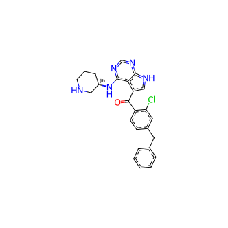 O=C(c1ccc(Cc2ccccc2)cc1Cl)c1c[nH]c2ncnc(N[C@@H]3CCCNC3)c12